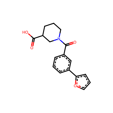 O=C(O)C1CCCN(C(=O)c2cccc(-c3ccco3)c2)C1